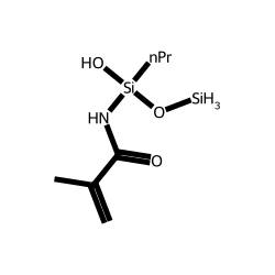 C=C(C)C(=O)N[Si](O)(CCC)O[SiH3]